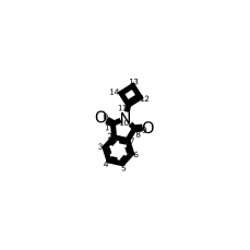 O=C1c2ccccc2C(=O)N1C1=CCC1